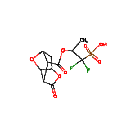 CC(OC(=O)C1C2CC3OC(=O)C1C3O2)C(F)(F)S(=O)(=O)O